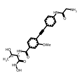 COc1cc(C(=O)N[C@H](C(=O)NO)[C@@H](C)O)ccc1C#Cc1ccc(NC(=O)CN)cc1